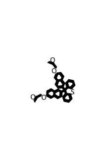 c1ccc2c(c1)Sc1ccccc1C2(c1ccc2cc(OCC3CO3)ccc2c1)c1ccc2cc(OCC3CO3)ccc2c1